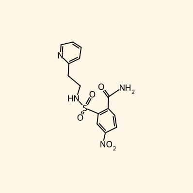 NC(=O)c1ccc([N+](=O)[O-])cc1S(=O)(=O)NCCc1ccccn1